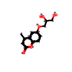 Cc1cc(=O)oc2ccc(OCC(O)CO)cc12